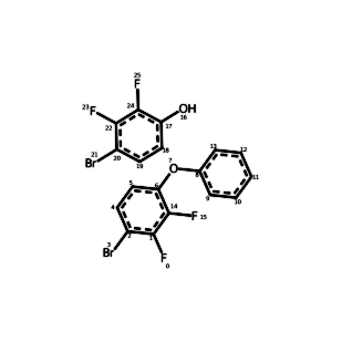 Fc1c(Br)ccc(Oc2ccccc2)c1F.Oc1ccc(Br)c(F)c1F